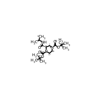 CC(C)NC(=O)[C@H]1CN(C(=O)OC(C)(C)C)CCN1C(=O)OC(C)(C)C